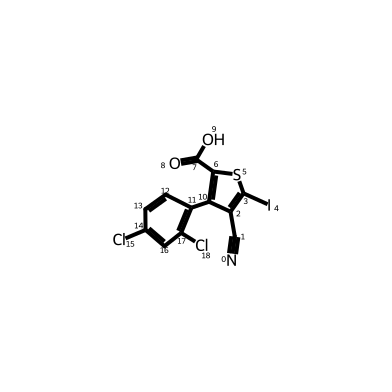 N#Cc1c(I)sc(C(=O)O)c1-c1ccc(Cl)cc1Cl